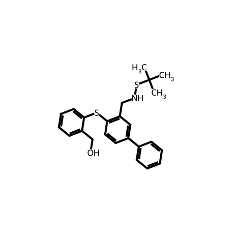 CC(C)(C)SNCc1cc(-c2ccccc2)ccc1Sc1ccccc1CO